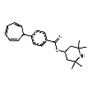 CC1(C)CC(OC(=O)c2ccc(C3C=CC=CC=C3)cc2)CC(C)(C)N1